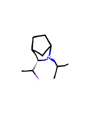 CC(I)[C@@H]1C2CCC(C2)N1C(C)C